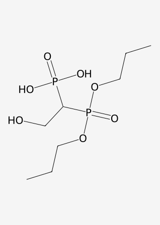 CCCOP(=O)(OCCC)C(CO)P(=O)(O)O